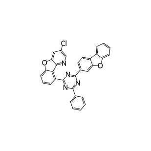 Clc1cnc2c(c1)oc1cccc(-c3nc(-c4ccccc4)nc(-c4ccc5c(c4)oc4ccccc45)n3)c12